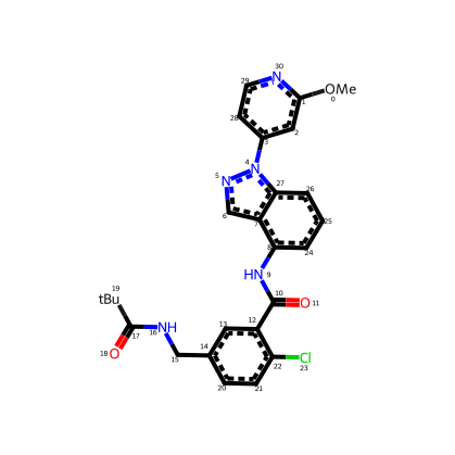 COc1cc(-n2ncc3c(NC(=O)c4cc(CNC(=O)C(C)(C)C)ccc4Cl)cccc32)ccn1